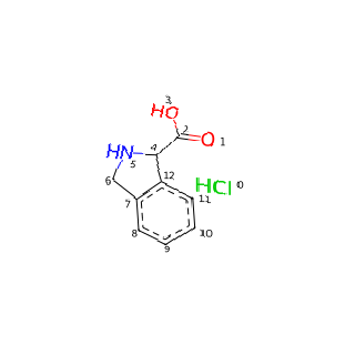 Cl.O=C(O)C1NCc2ccccc21